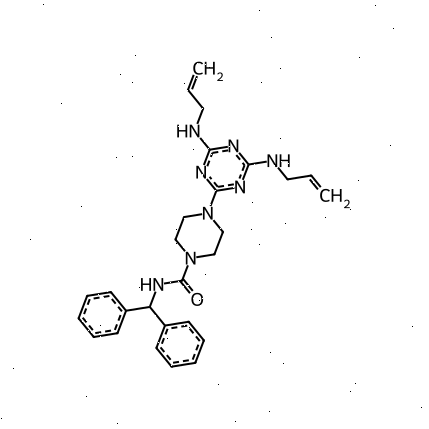 C=CCNc1nc(NCC=C)nc(N2CCN(C(=O)NC(c3ccccc3)c3ccccc3)CC2)n1